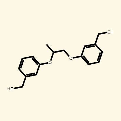 CC(COc1cccc(CO)c1)Oc1cccc(CO)c1